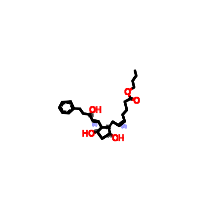 CCCCOC(=O)CCC/C=C\C[C@@H]1C(/C=C/[C@H](O)CCc2ccccc2)[C@H](O)C[C@@H]1O